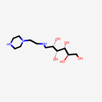 OC[C@@H](O)[C@@H](O)[C@H](O)[C@@H](O)CNCCN1CCNCC1